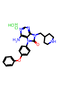 Cl.Cl.Nc1ncnc2c1n(-c1ccc(Oc3ccccc3)cc1)c(=O)n2CC1CCNCC1